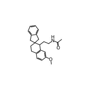 COc1ccc2c(c1)C(CCNC(C)=O)C1(CC2)Cc2ccccc2C1